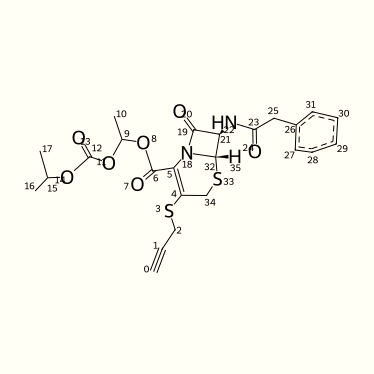 C#CCSC1=C(C(=O)OC(C)OC(=O)OC(C)C)N2C(=O)[C@@H](NC(=O)Cc3ccccc3)[C@@H]2SC1